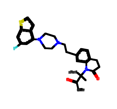 CCCCCC(C)(C(=O)OC)N1C(=O)CCc2ccc(CCN3CCN(c4cc(F)cc5sccc45)CC3)cc21